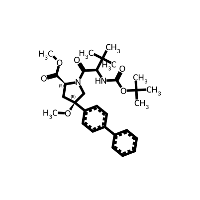 COC(=O)[C@@H]1C[C@@](OC)(c2ccc(-c3ccccc3)cc2)CN1C(=O)C(NC(=O)OC(C)(C)C)C(C)(C)C